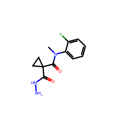 CN(C(=O)C1(C(=O)NN)CC1)c1ccccc1F